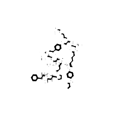 C=CC(=O)Nc1ccc(NC(=O)CCCCC(=O)N[C@H](C(=O)N[C@@H](CCCNC(N)=O)C(=O)Nc2ccc(CCN(C(=O)O)[C@H](C(=O)N[C@H](C(=O)N(C)[C@@H]([C@@H](C)CC)[C@@H](CC(=O)N3CCC[C@H]3[C@H](OC)[C@@H](C)C(=O)N[C@H](C)[C@@H](O)c3ccccc3)OC)C(C)C)C(C)C)cc2)C(C)C)cc1